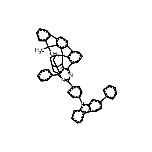 CC1(C)c2ccccc2-c2ccc3c(c21)C1(c2c(-c4nc(-c5ccccc5)nc(-c5ccc(-n6c7ccccc7c7ccc(-c8ccccc8)cc76)cc5)n4)cccc2-3)C2CC3CC(C2)CC1C3